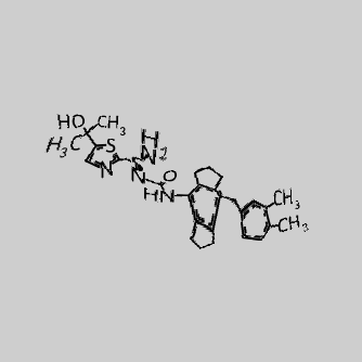 Cc1ccc(-c2c3c(c(NC(=O)/N=S(\N)c4ncc(C(C)(C)O)s4)c4c2CCC4)CCC3)cc1C